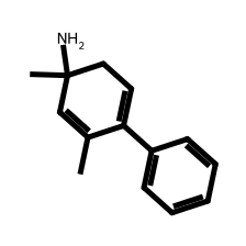 CC1=CC(C)(N)CC=C1c1ccccc1